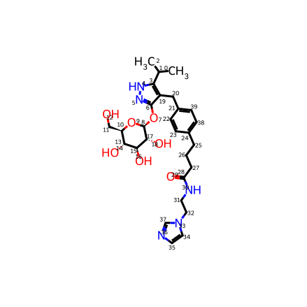 CC(C)c1[nH]nc(O[C@@H]2O[C@H](CO)[C@@H](O)[C@H](O)[C@H]2O)c1Cc1ccc(CCCC(=O)NCCn2ccnc2)cc1